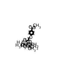 COC(=O)c1ccc(OCC(O[Si](C)(C)C(C)(C)C)C(=O)OC(C)(C)C)cc1